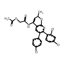 CC(=O)OCC(=O)NC1=CC(C)Oc2nc(-c3ccc(Cl)cc3Cl)c(-c3ccc(Cl)cc3)cc21